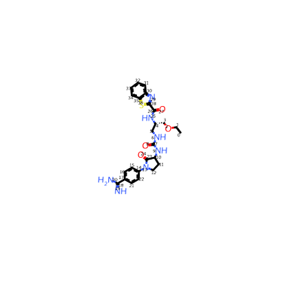 CCOC[C@H](CNC(=O)NC1CCN(c2ccc(C(=N)N)cc2)C1=O)NC(=O)c1nc2ccccc2s1